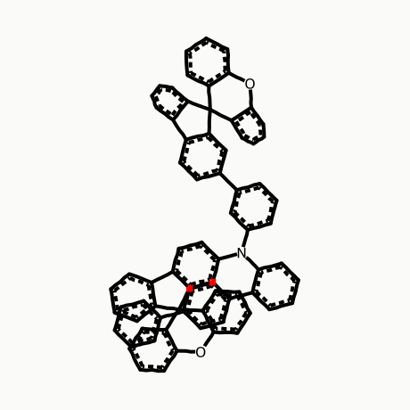 c1ccc(-c2ccc(-c3ccccc3N(c3cccc(-c4ccc5c(c4)C4(c6ccccc6Oc6ccccc64)c4ccccc4-5)c3)c3ccc4c(c3)C3(c5ccccc5Oc5ccccc53)c3ccccc3-4)cc2)cc1